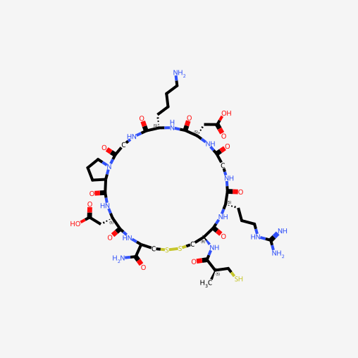 C[C@H](CS)C(=O)N[C@H]1CSSCC(C(N)=O)NC(=O)[C@H](CC(=O)O)NC(=O)C2CCCN2C(=O)CNC(=O)[C@H](CCCCN)NC(=O)[C@H](CC(=O)O)NC(=O)CNC(=O)[C@H](CCCNC(=N)N)NC1=O